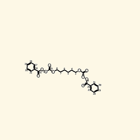 O=C(OCCCCCCOC(=O)OOC(=O)c1ccccc1)OOC(=O)c1ccccc1